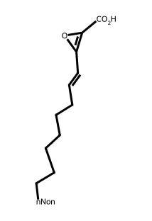 CCCCCCCCCCCCCCCC=CC1=C(C(=O)O)O1